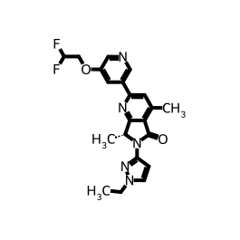 CCn1ccc(N2C(=O)c3c(C)cc(-c4cncc(OCC(F)F)c4)nc3[C@H]2C)n1